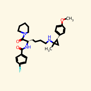 COc1ccc([C@@H]2CC2(C)NCCCC[C@H](NC(=O)c2ccc(F)cc2)C(=O)N2CCCCC2)cc1